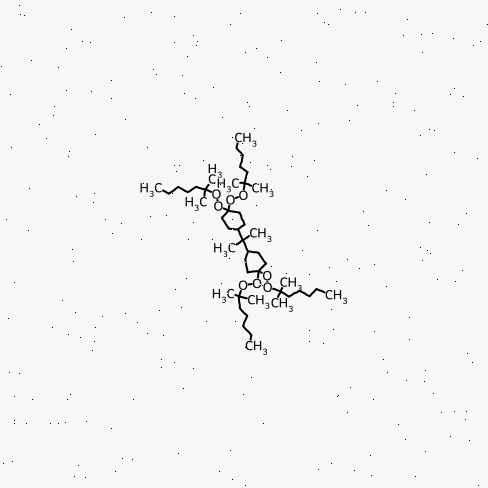 CCCCCC(C)(C)OOC1(OOC(C)(C)CCCCC)CCC(C(C)(C)C2CCC(OOC(C)(C)CCCCC)(OOC(C)(C)CCCCC)CC2)CC1